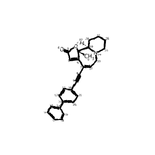 C[C@]12OC(=O)C=C1C(C#Cc1ccc(-c3ccccc3)cc1)=CCN1CCCC[C@@H]12